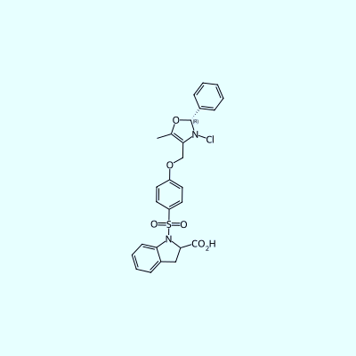 CC1=C(COc2ccc(S(=O)(=O)N3c4ccccc4CC3C(=O)O)cc2)N(Cl)[C@@H](c2ccccc2)O1